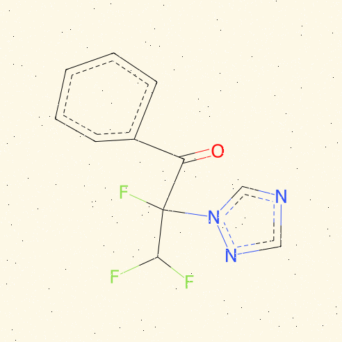 O=C(c1ccccc1)C(F)(C(F)F)n1cncn1